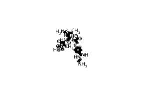 CCc1sc(N)nc1C(=NOC(COc1ccc(C(=N)NCCN)cc1)C(=O)O)C(=O)N[C@@H]1C(=O)N(S(=O)(=O)O)[C@H]1C